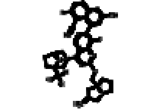 [2H]C([2H])([2H])C12CCC(CN(c3nc(OC[C@@]45CCCN4CC(=C)C5)nc4c(F)c(-c5cc(O)cc6ccc(F)c(C#C)c56)ncc34)C1)N2